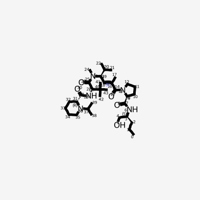 CCC[C@@H](CO)NC(=O)[C@@H]1CCCN1C(=O)/C(C)=C/[C@H](C(C)C)N(C)C(=O)[C@@H](NC(=O)[C@H]1CCCCN1C(C)C)C(C)(C)C